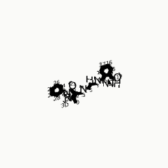 Cc1c(C=NCCCNc2n[nH]c(=O)c3ccccc23)c(=O)n(-c2ccccc2)n1C